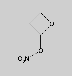 O=[N+]([O-])OC1CCO1